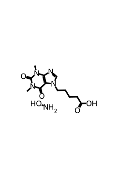 Cn1c(=O)c2c(ncn2CCCCC(=O)O)n(C)c1=O.NO